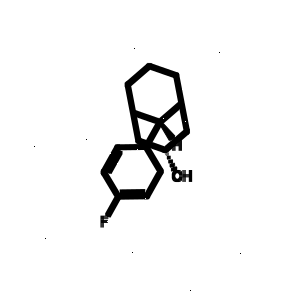 O[C@H]1CC2CCCC(C1)[C@H]2C1C=CC(F)=CC1